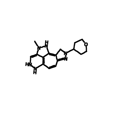 CN1NC2=C3CN(C4CCOCC4)N=C3C=CC3=C2C1=CNN3